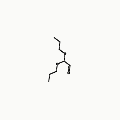 CCCOC(C=O)OCCC